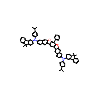 CC(C)c1ccc(N(c2ccc3c(c2)-c2ccccc2C3(C)C)c2ccc3cc4c(cc3c2)oc2c(-c3ccccc3)c3oc5cc6cc(N(c7ccc(C(C)C)cc7)c7ccc8c(c7)-c7ccccc7C8(C)C)ccc6cc5c3cc24)cc1